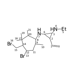 C=CC1C(NCC)C1NC1C(C)CC(Br)C(CBr)C(C)(C)C1C